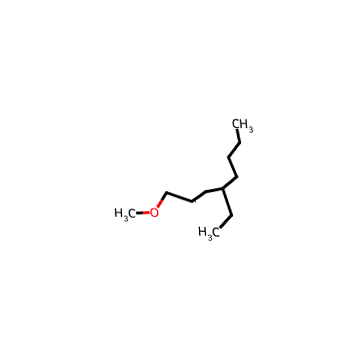 CCCCC(CC)C[CH]COC